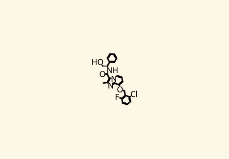 Cc1nc2c(OCc3c(F)cccc3Cl)cccn2c1C(=O)N[C@@H](CO)c1ccccc1